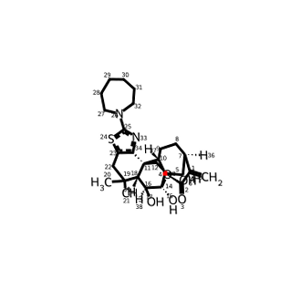 C=C1C(=O)[C@]23[C@H](O)[C@H]1CC[C@H]2[C@@]12CO[C@@]3(O)[C@@H](O)[C@@H]1C(C)(C)Cc1sc(N3CCCCCC3)nc12